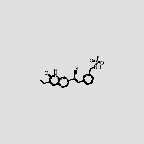 CCc1cc2ccc(/C(C#N)=C/c3cccc(CNS(C)(=O)=O)c3)cc2[nH]c1=O